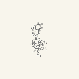 CC1(C)[C@@H]2C[C@H]3OB(C(Cc4ccccc4)N=C=O)O[C@@]3(C)[C@H]1C2